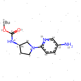 CC(C)(C)OC(=O)N[C@@H]1CCN(c2ccc(N)cn2)C1